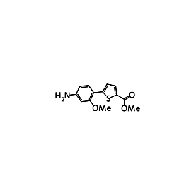 COC(=O)c1ccc(-c2ccc(N)cc2OC)s1